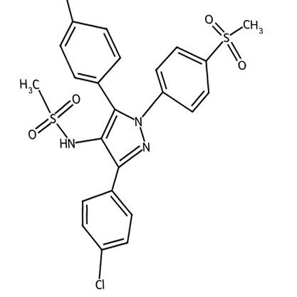 CS(=O)(=O)Nc1c(-c2ccc(Cl)cc2)nn(-c2ccc(S(C)(=O)=O)cc2)c1-c1ccc(Cl)cc1